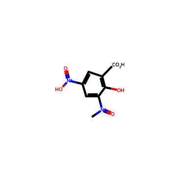 C[N+](=O)c1cc([N+](=O)O)cc(C(=O)O)c1O